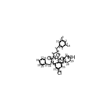 Cc1cc(C)cc(CCCN2C(=O)N(Cc3ccccc3)c3cc(Cl)cc(N4CCNCC4)c3S2(=O)=O)c1